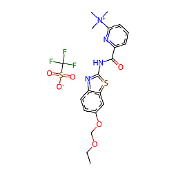 CCOCOc1ccc2nc(NC(=O)c3cccc([N+](C)(C)C)n3)sc2c1.O=S(=O)([O-])C(F)(F)F